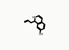 C=CCC1N[C]=Cc2ccc(O)cc21